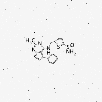 Cc1nc(NCc2ccc([S+](N)[O-])s2)c2c(-c3ccccc3)csc2n1